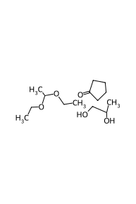 CC(O)CO.CCOC(C)OCC.O=C1CCCC1